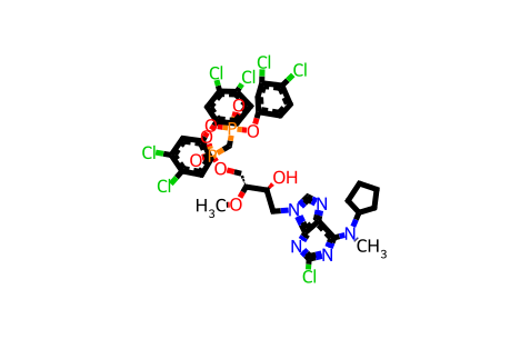 CO[C@H](COP(=O)(CP(=O)(Oc1ccc(Cl)c(Cl)c1)Oc1ccc(Cl)c(Cl)c1)Oc1ccc(Cl)c(Cl)c1)[C@@H](O)Cn1cnc2c(N(C)C3CCCC3)nc(Cl)nc21